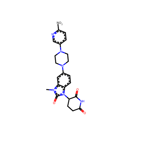 Cn1c(=O)n(C2CCC(=O)NC2=O)c2ccc(N3CCN(c4ccc([N+](=O)[O-])nc4)CC3)cc21